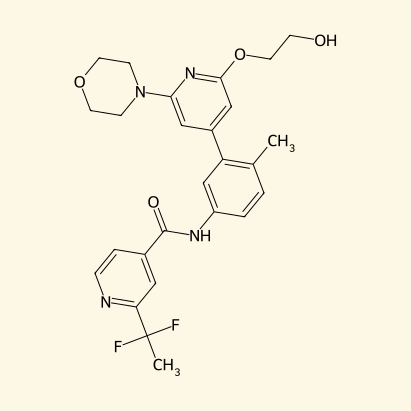 Cc1ccc(NC(=O)c2ccnc(C(C)(F)F)c2)cc1-c1cc(OCCO)nc(N2CCOCC2)c1